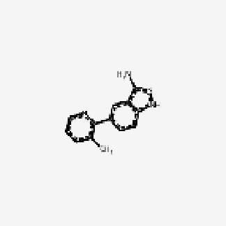 Cc1cccnc1-c1ccc2[nH]nc(N)c2c1